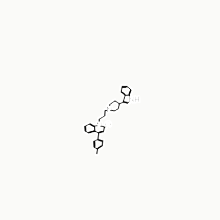 Cc1ccc(-c2cc(=O)n(CCCN3CCC(c4c[nH]c5ccccc45)CC3)c3ccccc23)cc1